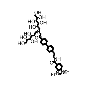 CCn1c[n+](CC)c2ccc(C(=O)NCCc3ccc(-c4ccc(CCN(C[C@H](O)[C@@H](O)[C@H](O)[C@H](O)CO)C[C@H](O)[C@@H](O)[C@H](O)[C@H](O)CO)cc4)cc3)cc21